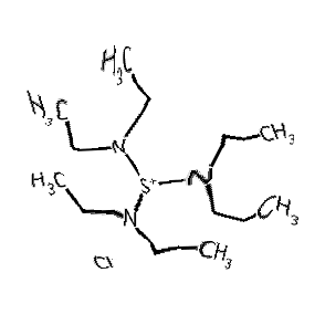 CCN(CC)[S+](N(CC)CC)N(CC)CC.[Cl-]